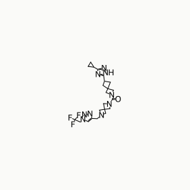 O=C(N1CC2(CC(c3nc(C4CC4)n[nH]3)C2)C1)N1CC2(CN(Cc3cn(CC(F)(F)F)nn3)C2)C1